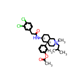 CC(=O)Oc1cccc([C@]23CC[N@@+](C)(CC(C)C)CC2CC[C@H](NC(=O)Cc2ccc(Cl)c(Cl)c2)C3)c1